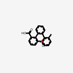 Cc1cccc(C)c1-c1ccccc1-c1c(C(=O)O)cccc1C(=O)O